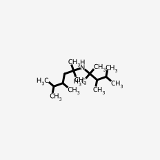 CC(C)C(C)CC(C)(C)NC(C)(C)C(C)C(C)C